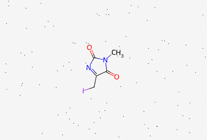 CN1C(=O)N=C(CI)C1=O